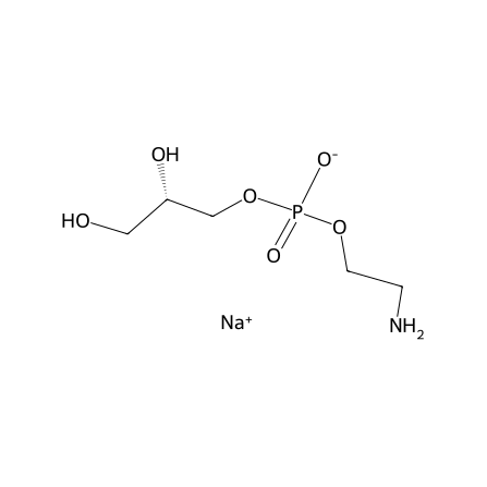 NCCOP(=O)([O-])OC[C@@H](O)CO.[Na+]